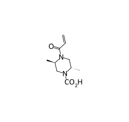 C=CC(=O)N1C[C@H](C)N(C(=O)O)C[C@H]1C